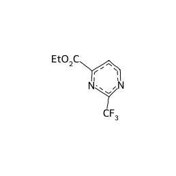 CCOC(=O)c1ccnc(C(F)(F)F)n1